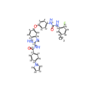 O=C(Nc1ccc(Oc2ccc3[nH]c(NC(=O)c4ccc(-n5cccc5)cc4)nc3c2)cc1)Nc1cc(C(F)(F)F)ccc1F